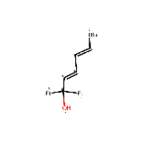 CCC(O)(/C=C/C=C/C(C)(C)C)CC